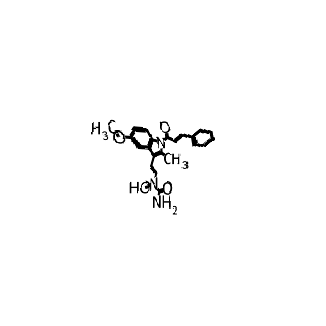 COc1ccc2c(c1)c(CCN(O)C(N)=O)c(C)n2C(=O)/C=C/c1ccccc1